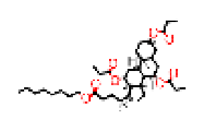 CCCCCCCCOC(=O)CC[C@@H](C)[C@H]1CC[C@H]2C3[C@H](OC(=O)CC)CC4C[C@H](OC(=O)CC)CC[C@]4(C)[C@H]3C[C@H](OC(=O)CC)[C@]12C